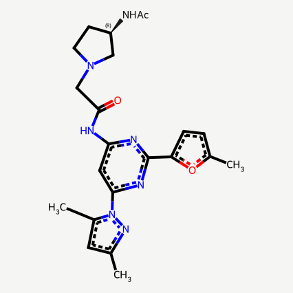 CC(=O)N[C@@H]1CCN(CC(=O)Nc2cc(-n3nc(C)cc3C)nc(-c3ccc(C)o3)n2)C1